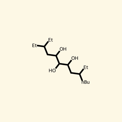 CCCCC(CC)CC(O)C(O)C(O)CC(CC)CC